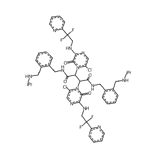 CC(C)NCc1ccccc1CNC(=O)C(C(C(=O)NCc1ccccc1CNC(C)C)n1c(Cl)cnc(NCC(F)(F)c2ccccn2)c1=O)n1c(Cl)cnc(NCC(F)(F)c2ccccn2)c1=O